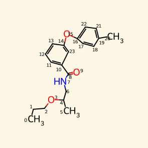 CCCOC(C)CNC(=O)c1cccc(Oc2ccc(C)cc2)c1